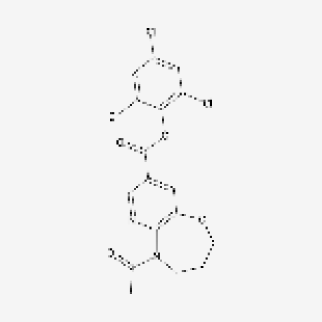 CC(=O)N1CCCOc2cc(C(=O)Oc3c(Cl)cc(Cl)cc3Cl)cnc21